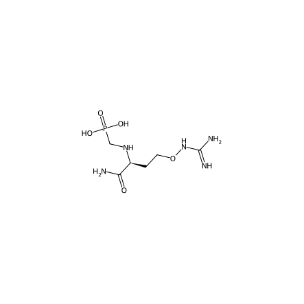 N=C(N)NOCC[C@H](NCP(=O)(O)O)C(N)=O